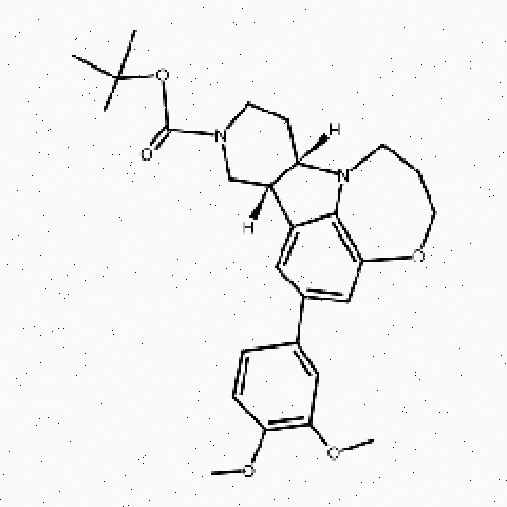 COc1ccc(-c2cc3c4c(c2)[C@@H]2CN(C(=O)OC(C)(C)C)CC[C@@H]2N4CCCO3)cc1OC